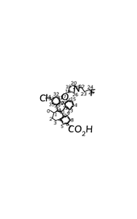 CC1CCc2cc(C(=O)O)ccc2C(c2cccc(OC3CCN(CCCF)C3)c2)=C1c1cccc(Cl)c1